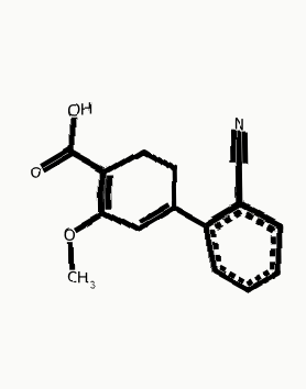 COC1=C(C(=O)O)CCC(c2ccccc2C#N)=C1